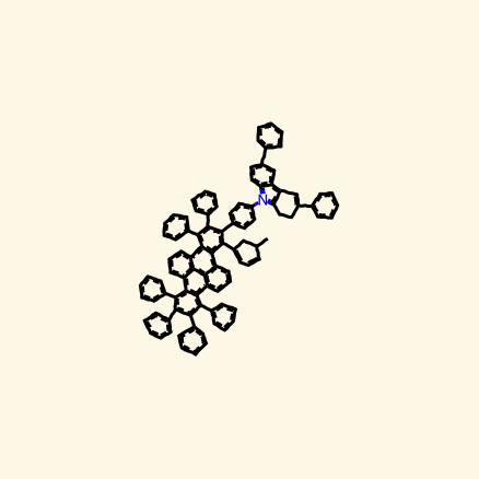 CC1C=CC=C(c2c(-c3ccc(-n4c5c(c6cc(-c7ccccc7)ccc64)C=C(c4ccccc4)CC5)cc3)c(-c3ccccc3)c(-c3ccccc3)c3c4cccc5c6c(-c7ccccc7)c(-c7ccccc7)c(-c7ccccc7)c(-c7ccccc7)c6c6cccc(c23)c6c45)C1